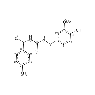 CCC(NC(=S)NCc1ccc(O)c(OC)c1)c1ccc(C)cc1